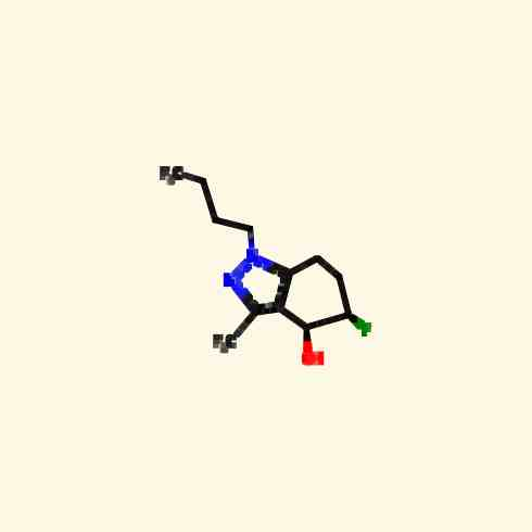 O[C@H]1c2c(C(F)(F)F)nn(CCCC(F)(F)F)c2CC[C@H]1F